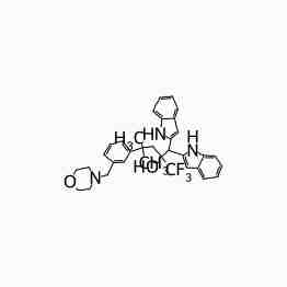 CC(C)(CC(O)(C(c1cc2ccccc2[nH]1)c1cc2ccccc2[nH]1)C(F)(F)F)c1cccc(CN2CCOCC2)c1